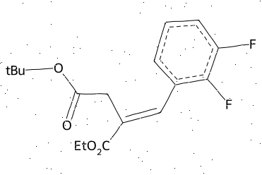 CCOC(=O)/C(=C/c1cccc(F)c1F)CC(=O)OC(C)(C)C